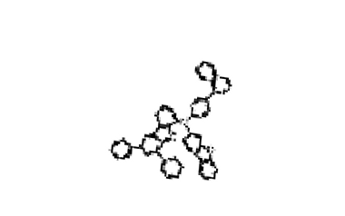 c1ccc(-c2cc(-c3ccccc3)c3oc4c(N(c5ccc(-c6cccc7ccccc67)cc5)c5ccc6c(c5)oc5ccccc56)cccc4c3c2)cc1